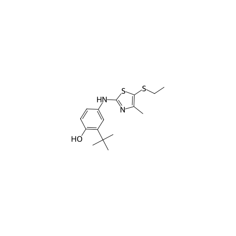 CCSc1sc(Nc2ccc(O)c(C(C)(C)C)c2)nc1C